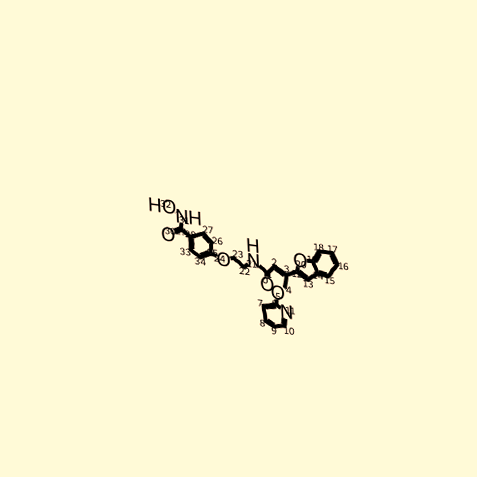 O=C(C=C(COc1ccccn1)c1cc2ccccc2o1)NCCOc1ccc(C(=O)NO)cc1